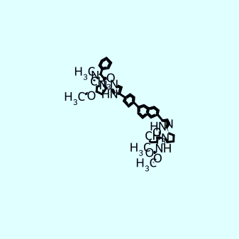 CCO[C@H]1C[C@@H](c2ncc(-c3ccc(-c4ccc5cc(-c6cnc([C@@H]7CCCN7C(=O)[C@@H](NC(=O)OC)C(C)C)[nH]6)ccc5c4)cc3)[nH]2)N(C(=O)[C@@H](c2ccccc2)N(C)C)C1